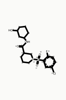 O=C(NC1CCCC(O)C1)C1CCCN(S(=O)(=O)c2cc(Cl)ccc2F)C1